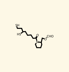 O=COCC1CCCCN1C(=O)CCCCC(S)CCS